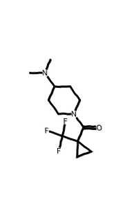 CN(C)C1CCN(C(=O)C2(C(F)(F)F)CC2)CC1